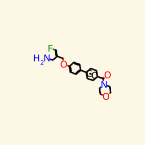 NC/C(=C\F)COc1ccc(C23CCC(C(=O)N4CCOCC4)(CC2)CC3)cc1